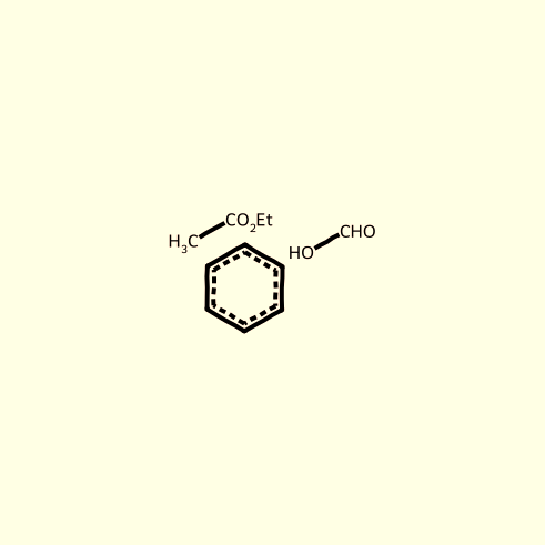 CCOC(C)=O.O=CO.c1ccccc1